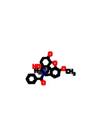 COc1ccc2c3c1OC1C(=O)CC[C@]4(O)[C@H](C2)N(C(=O)c2ccccc2)CCC314